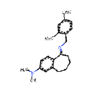 COc1ccc(CN=C2CCCCc3cc(N(C)C)ccc32)c(OC)c1